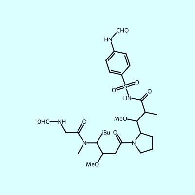 CCC(C)C(C(CC(=O)N1CCCC1C(OC)C(C)C(=O)NS(=O)(=O)c1ccc(NC=O)cc1)OC)N(C)C(=O)CNC=O